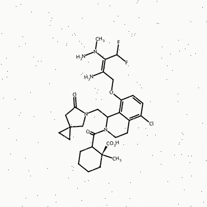 CN(N)/C(=C(\N)COc1ccc(Cl)c2c1C(CN1CC3(CC3)CC1=O)N(C(=O)C1CCCC[C@]1(C)C(=O)O)CC2)C(F)F